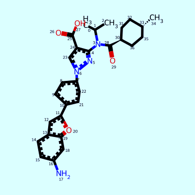 CC(C)N(c1nn(-c2ccc(-c3cc4ccc(N)cc4o3)cc2)cc1C(=O)O)C(=O)[C@H]1CC[C@H](C)CC1